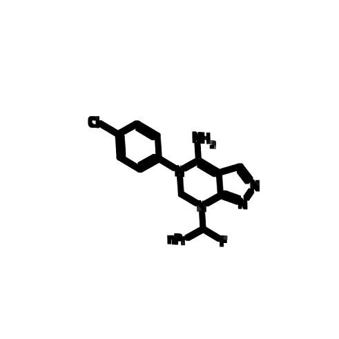 CCCC(F)N1CN(c2ccc(Cl)cc2)C(N)=C2C=NN=C21